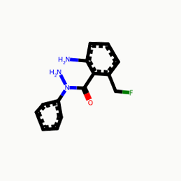 Nc1cccc(CF)c1C(=O)N(N)c1ccccc1